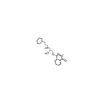 Cn1nc(OCC(O)CNCCCc2ccccc2)c2ccccc2c1=O